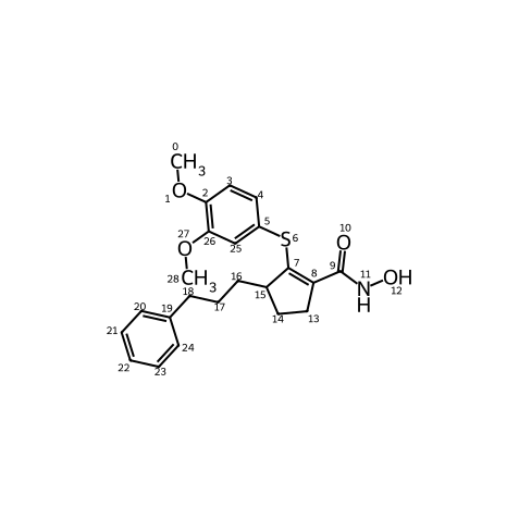 COc1ccc(SC2=C(C(=O)NO)CCC2CCCc2ccccc2)cc1OC